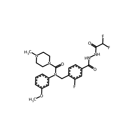 COc1cccc(N(Cc2ccc(C(=O)NNC(=O)C(F)F)cc2F)C(=O)N2CCN(C)CC2)c1